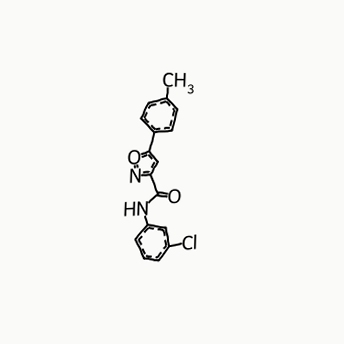 Cc1ccc(-c2cc(C(=O)Nc3cccc(Cl)c3)no2)cc1